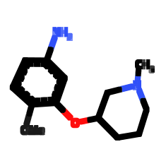 COc1ccc(N)cc1OC1CCCN(C)C1